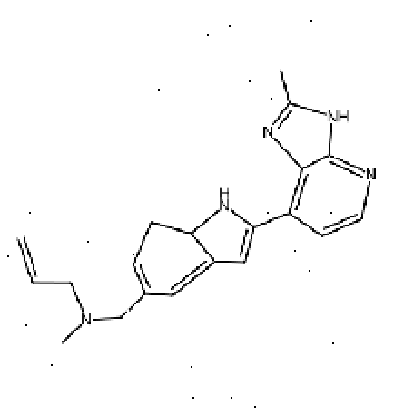 C=CCN(C)CC1=CCC2NC(c3ccnc4[nH]c(C)nc34)=CC2=C1